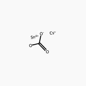 O=C([O-])[O-].[Cs+].[Sn+4]